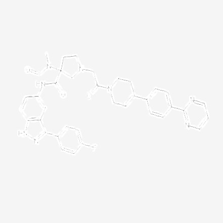 CN(C=O)C1(C(=O)Nc2ccc3[nH]nc(-c4ccc(F)cc4)c3c2)CCN(CC(=O)N2CC=C(c3ccc(-c4ncccn4)cc3)CC2)C1